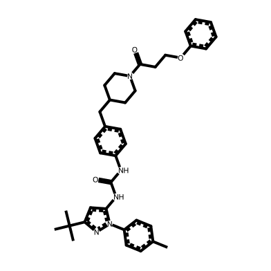 Cc1ccc(-n2nc(C(C)(C)C)cc2NC(=O)Nc2ccc(CC3CCN(C(=O)CCOc4ccccc4)CC3)cc2)cc1